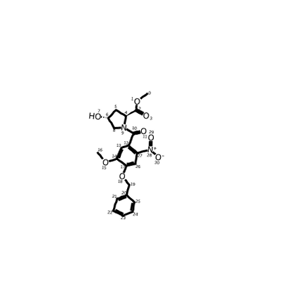 COC(=O)[C@@H]1C[C@@H](O)CN1C(=O)c1cc(OC)c(OCc2ccccc2)cc1[N+](=O)[O-]